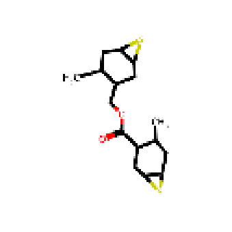 CC1CC2SC2CC1COC(=O)C1CC2SC2CC1C